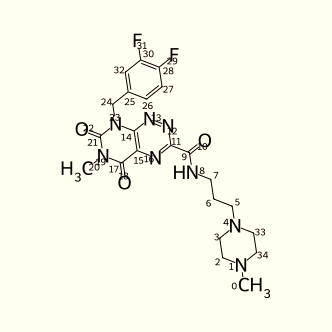 CN1CCN(CCCNC(=O)c2nnc3c(n2)c(=O)n(C)c(=O)n3Cc2ccc(F)c(F)c2)CC1